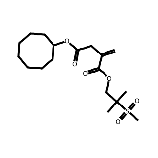 C=C(CC(=O)OC1CCCCCCC1)C(=O)OCC(C)(C)S(C)(=O)=O